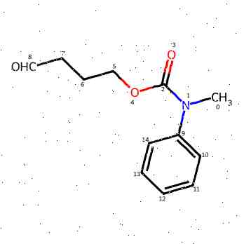 CN(C(=O)OCCCC=O)c1ccccc1